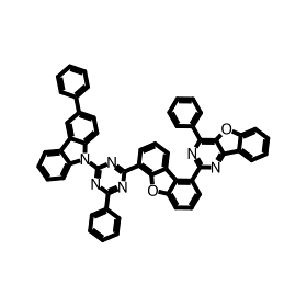 c1ccc(-c2ccc3c(c2)c2ccccc2n3-c2nc(-c3ccccc3)nc(-c3cccc4c3oc3cccc(-c5nc(-c6ccccc6)c6oc7ccccc7c6n5)c34)n2)cc1